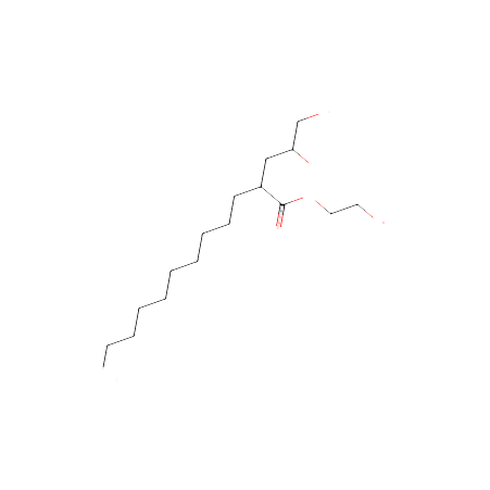 CCCCCCCCCCC(CC(O)CO)C(=O)OCCO